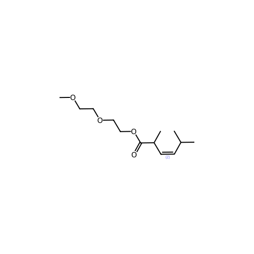 COCCOCCOC(=O)C(C)/C=C\C(C)C